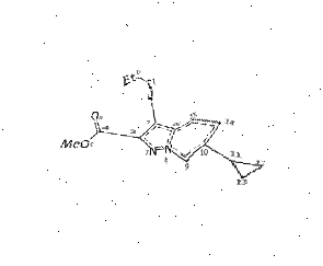 CCSc1c(C(=O)OC)nn2cc(C3CC3)ccc12